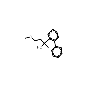 COCCC(C)(O)c1ccccc1-c1ccccc1